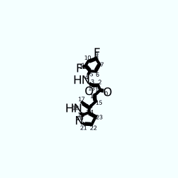 O=C1C=C(Nc2ccc(F)cc2F)O/C1=C\c1c[nH]c2ncccc12